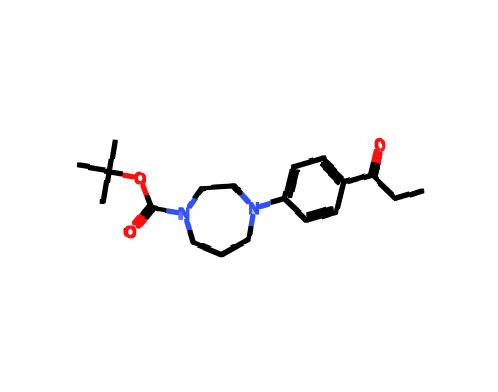 CCC(=O)c1ccc(N2CCCN(C(=O)OC(C)(C)C)CC2)cc1